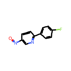 O=Nc1ccc(-c2ccc(F)cc2)nc1